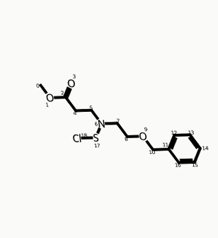 COC(=O)CCN(CCOCc1ccccc1)SCl